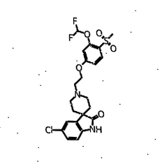 CS(=O)(=O)c1ccc(OCCN2CCC3(CC2)C(=O)Nc2ccc(Cl)cc23)cc1OC(F)F